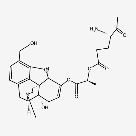 CC(=O)[C@@H](N)CCC(=O)O[C@@H](C)C(=O)OC1=CC[C@@]2(O)[C@H]3Cc4ccc(CO)c5c4[C@@]2(CCN3C)[C@H]1O5